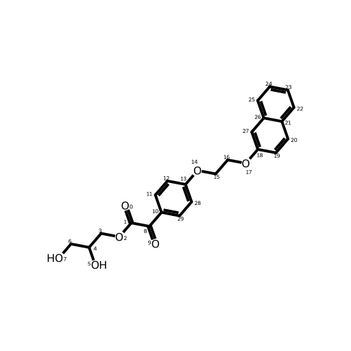 O=C(OCC(O)CO)C(=O)c1ccc(OCCOc2ccc3ccccc3c2)cc1